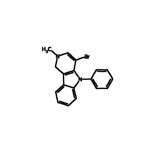 CN1C=C(Br)c2c(c3ccccc3n2-c2ccccc2)C1